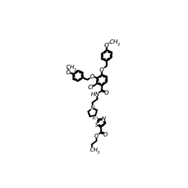 CCCOC(=O)c1cnc([C@@H]2CCN(CCNC(=O)c3ccc(OCc4ccc(OC)cc4)c(OCc4ccc(OC)cc4)c3Cl)C2)s1